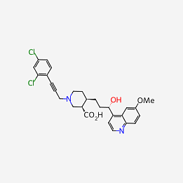 COc1ccc2nccc([C@@H](O)CC[C@@H]3CCN(CC#Cc4ccc(Cl)cc4Cl)C[C@@H]3C(=O)O)c2c1